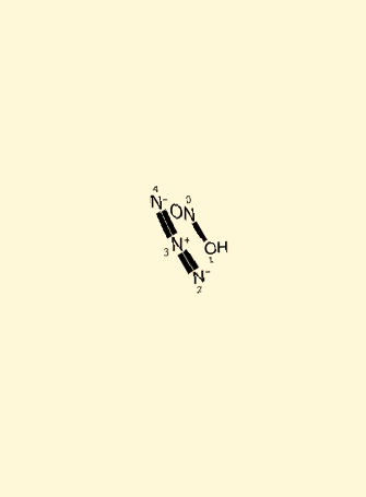 O=NO.[N-]=[N+]=[N-]